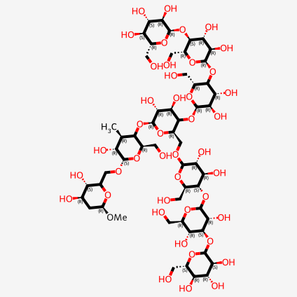 CO[C@H]1C[C@@H](O)[C@H](O)C(CO[C@H]2O[C@H](CO)C(O[C@@H]3O[C@H](COC4O[C@H](CO)[C@@H](OC5O[C@H](CO)[C@@H](O)[C@H](OC6O[C@@H](CO)[C@H](O)[C@@H](O)[C@@H]6O)[C@H]5O)[C@H](O)[C@H]4O)C(O[C@H]4O[C@H](CO)C(O[C@H]5O[C@H](CO)[C@@H](O[C@H]6O[C@H](CO)[C@@H](O)[C@H](O)[C@H]6O)[C@H](O)[C@H]5O)[C@H](O)[C@H]4O)[C@H](O)[C@H]3O)[C@H](C)[C@H]2O)O1